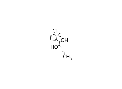 CCCCC(O)[C@@H](O)c1cccc(Cl)c1Cl